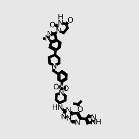 CC(C)Oc1c(-c2cn[nH]c2)ncn2nc(NC3CCN(S(=O)(=O)c4cccc(CN5CCC(c6ccc7c(N8CCC(=O)NC8=O)nn(C)c7c6)CC5)c4)CC3)nc12